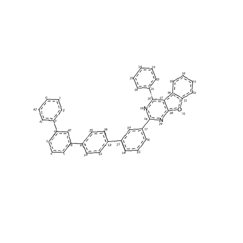 c1ccc(-c2cccc(-c3ccc(-c4cccc(-c5nc(-c6ccccc6)c6c(n5)oc5ccccc56)c4)cc3)c2)cc1